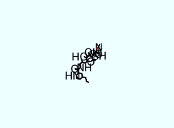 CCCC1CCNC(C(=O)NCC(C)CC2OC(C)C(S)(OC(=O)CN(C)C)C(O)C2O)C1